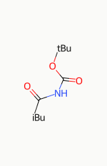 [CH2]CC(C)C(=O)NC(=O)OC(C)(C)C